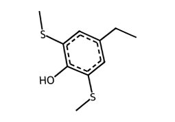 CCc1cc(SC)c(O)c(SC)c1